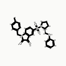 Cc1ccc(CN2C(=O)C(=O)c3cc(S(=O)(=O)N4CCC[C@H]4COc4ccccc4)ccc32)cc1